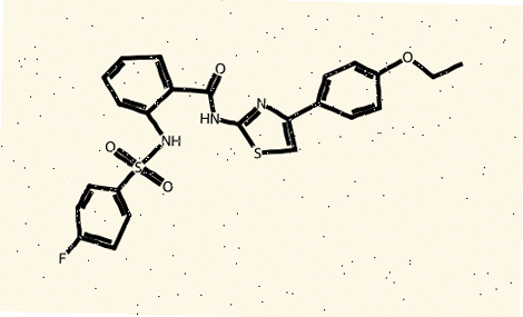 CCOc1ccc(-c2csc(NC(=O)c3ccccc3NS(=O)(=O)c3ccc(F)cc3)n2)cc1